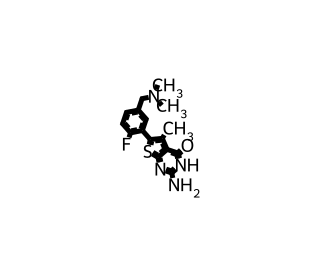 Cc1c(-c2cc(CN(C)C)ccc2F)sc2nc(N)[nH]c(=O)c12